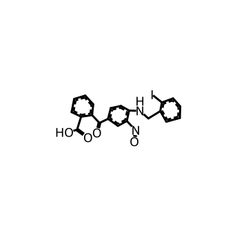 O=Nc1cc(C(=O)c2ccccc2C(=O)O)ccc1NCc1ccccc1I